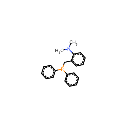 CN(C)c1ccccc1CP(c1ccccc1)c1ccccc1